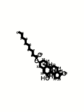 CCCCCCCCCC(=O)O[C@H]1CC[C@@]2(C)C(=CC(O)[C@@H]3[C@@H]2CC[C@]2(C)C(=O)CC[C@@H]32)C1